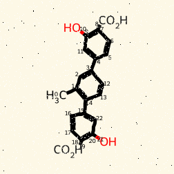 Cc1cc(-c2ccc(C(=O)O)c(O)c2)ccc1-c1ccc(C(=O)O)c(O)c1